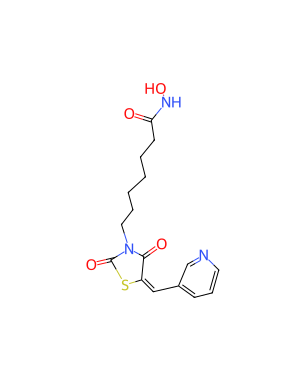 O=C(CCCCCCN1C(=O)SC(=Cc2cccnc2)C1=O)NO